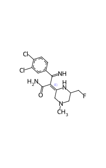 CN1C/C(=C(/C(=N)c2ccc(Cl)c(Cl)c2)C(N)=O)NC(CF)C1